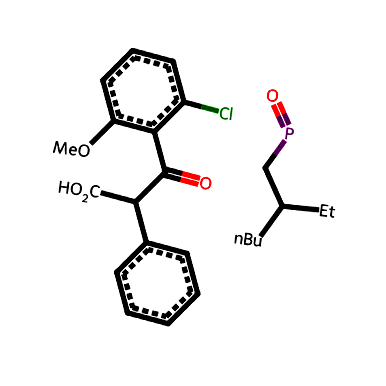 CCCCC(CC)CP=O.COc1cccc(Cl)c1C(=O)C(C(=O)O)c1ccccc1